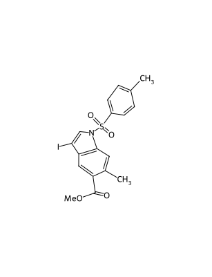 COC(=O)c1cc2c(I)cn(S(=O)(=O)c3ccc(C)cc3)c2cc1C